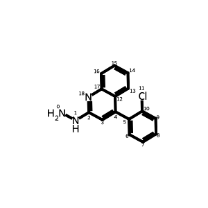 NNc1cc(-c2ccccc2Cl)c2ccccc2n1